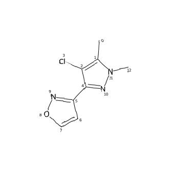 Cc1c(Cl)c(-c2ccon2)nn1C